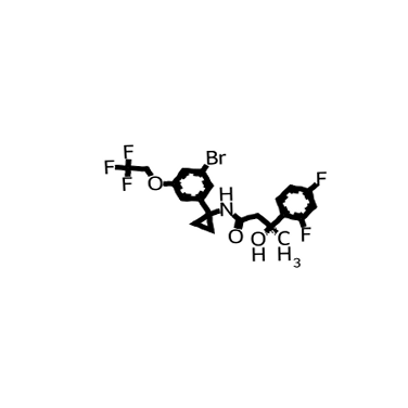 C[C@@](O)(CC(=O)NC1(c2cc(Br)cc(OCC(F)(F)F)c2)CC1)c1ccc(F)cc1F